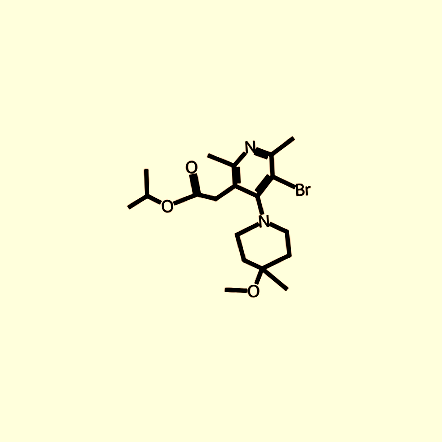 COC1(C)CCN(c2c(Br)c(C)nc(C)c2CC(=O)OC(C)C)CC1